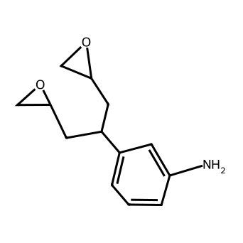 Nc1cccc(C(CC2CO2)CC2CO2)c1